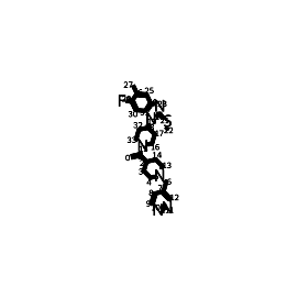 C=C(C1CCN(Cc2ccnnc2)CC1)N1CCC(n2c(SC)nc3cc(C)c(F)cc32)CC1